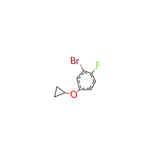 Fc1ccc(OC2CC2)cc1Br